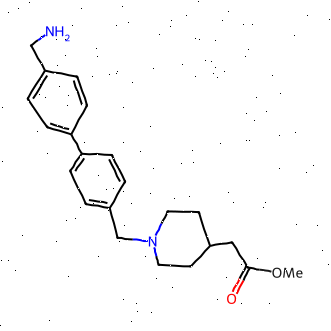 COC(=O)CC1CCN(Cc2ccc(-c3ccc(CN)cc3)cc2)CC1